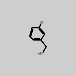 CCC[CH]Cc1cccc(Cl)c1